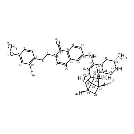 COc1ccc(CCn2cnc3cc(NC(=NC4C[C@H]5C[C@@H]([C@@H]4C)C5(C)C)N4CCN[C@@H](C)C4)ccc3c2=O)c(F)c1